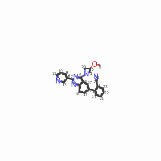 COC1CN(c2nc(-c3cccnc3)nc3ccc(-c4ccccc4C#N)cc23)C1